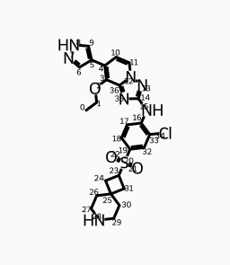 CCOc1c(-c2cn[nH]c2)ccn2nc(Nc3ccc(S(=O)(=O)C4CC5(CCNCC5)C4)cc3Cl)nc12